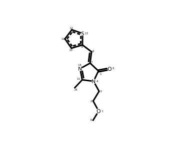 COCCN1C(=O)/C(=C/c2cccs2)N=C1C